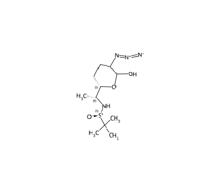 C[C@@H](N[S@+]([O-])C(C)(C)C)[C@@H]1CCC(N=[N+]=[N-])C(O)O1